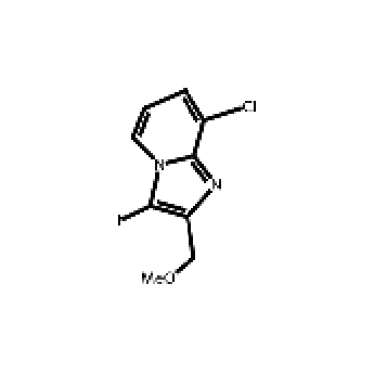 COCc1nc2c(Cl)cccn2c1I